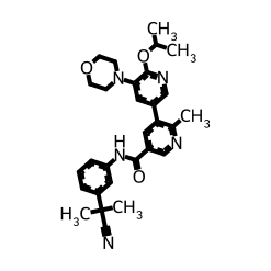 Cc1ncc(C(=O)Nc2cccc(C(C)(C)C#N)c2)cc1-c1cnc(OC(C)C)c(N2CCOCC2)c1